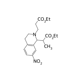 CCOC(=O)CCN1CCc2ccc([N+](=O)[O-])cc2C1C(C)C(=O)OCC